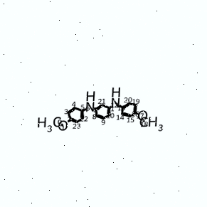 COc1ccc(Nc2cccc(Nc3ccc(OC)cc3)c2)cc1